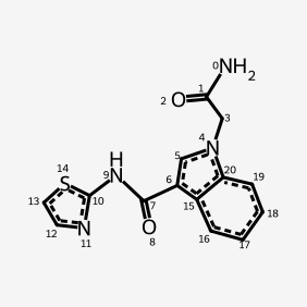 NC(=O)Cn1cc(C(=O)Nc2nccs2)c2ccccc21